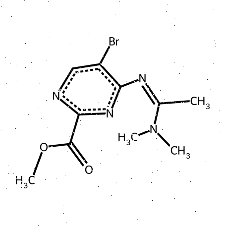 COC(=O)c1ncc(Br)c(N=C(C)N(C)C)n1